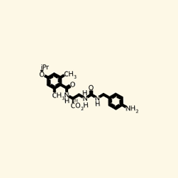 Cc1cc(OC(C)C)cc(C)c1C(=O)N[C@@H](CNC(=O)NCc1ccc(N)cc1)C(=O)O